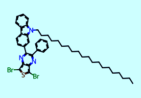 CCCCCCCCCCCCCCCCCCCCn1c2ccccc2c2ccc(-c3nc4c(Br)sc(Br)c4nc3-c3ccccc3)cc21